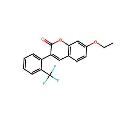 CCOc1ccc2cc(-c3ccccc3C(F)(F)F)c(=O)oc2c1